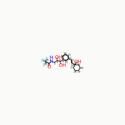 O=C(NC[C@@H](O)[C@H](O)c1cccc(/C=C/C2(O)CCCCC2)c1)C(F)(F)F